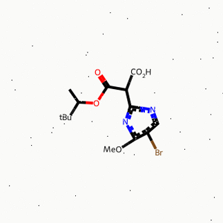 COc1nc(C(C(=O)O)C(=O)OC(C)C(C)(C)C)ncc1Br